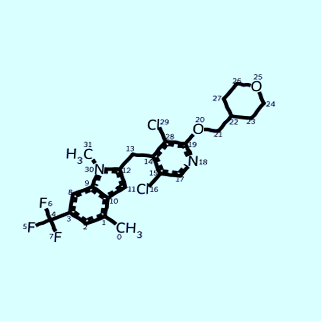 Cc1cc(C(F)(F)F)cc2c1cc(Cc1c(Cl)cnc(OCC3CCOCC3)c1Cl)n2C